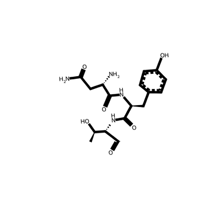 C[C@@H](O)[C@@H]([C]=O)NC(=O)[C@H](Cc1ccc(O)cc1)NC(=O)[C@@H](N)CC(N)=O